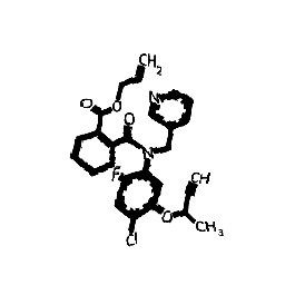 C#CC(C)Oc1cc(N(Cc2cccnc2)C(=O)C2=C(C(=O)OCC=C)CCCC2)c(F)cc1Cl